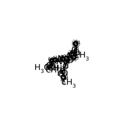 Cc1ccc(S(=O)(=O)OCCOCCn2c(=O)c(N3CCN(C(=O)OCc4ccccc4)c4c(C)cccc43)cc3cnc(Nc4ccc5c(c4)N(C(=O)OC(C)(C)C)CC5)nc32)cc1